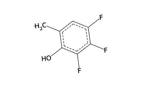 [CH2]c1cc(F)c(F)c(F)c1O